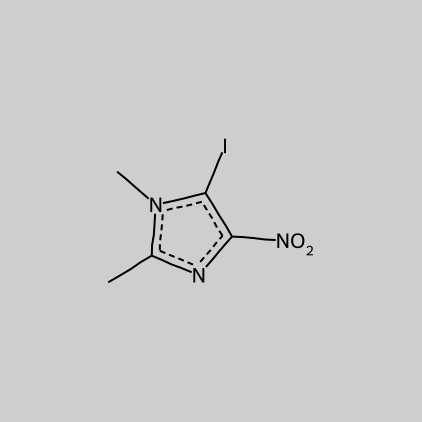 Cc1nc([N+](=O)[O-])c(I)n1C